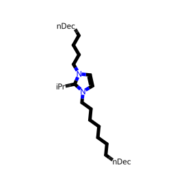 CCCCCCCCCCCCCCCCCN1C=CN(CCCCCCCCCCCCCC)C1C(C)C